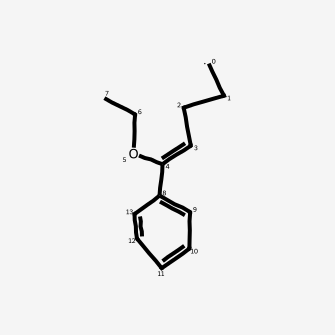 [CH2]CCC=C(OCC)c1ccccc1